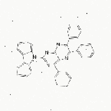 c1ccc(-c2nc3nc(-n4c5ccccc5c5ccccc54)nc(-c4ccccc4)c3nc2-c2ccccc2)cc1